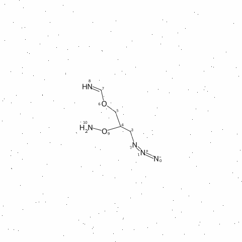 [N-]=[N+]=NCC(COC=N)ON